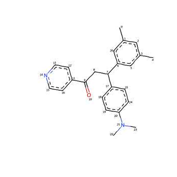 Cc1cc(C)cc(C(CC(=O)c2ccncc2)c2ccc(N(C)C)cc2)c1